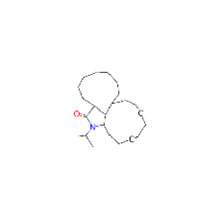 CC(C)N1C(=O)C2CCCCCCCC3CCCCCCCCC1C32